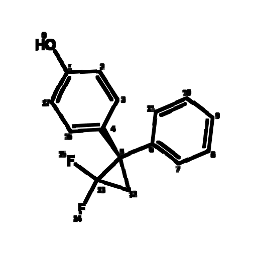 Oc1ccc([C@@]2(c3ccccc3)CC2(F)F)cc1